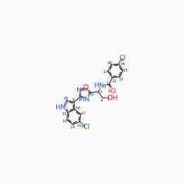 O=C(NC(CO)c1nc(-c2c[nH]c3ccc(Cl)cc23)no1)c1ccc(Cl)cc1